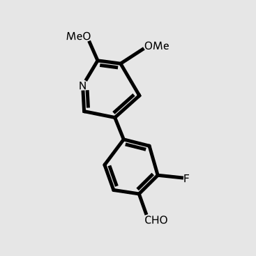 COc1cc(-c2ccc(C=O)c(F)c2)cnc1OC